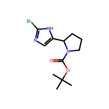 CC(C)(C)OC(=O)N1CCCC1c1cnc(Br)[nH]1